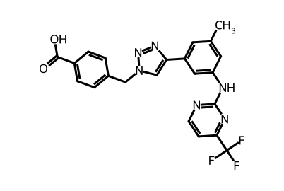 Cc1cc(Nc2nccc(C(F)(F)F)n2)cc(-c2cn(Cc3ccc(C(=O)O)cc3)nn2)c1